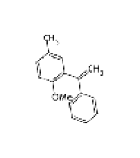 C=C(c1ccccc1)c1cc(C)ccc1OC